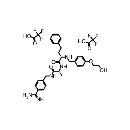 C[C@H](NC(=O)[C@@H](CCc1ccccc1)NCc1ccc(OCCO)cc1)C(=O)NCc1ccc(C(=N)N)cc1.O=C(O)C(F)(F)F.O=C(O)C(F)(F)F